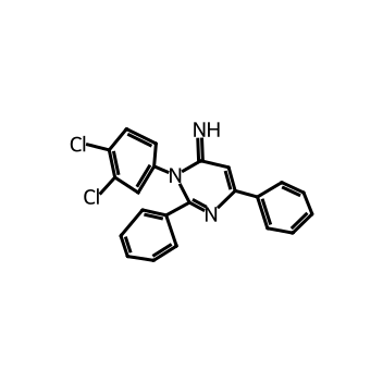 N=c1cc(-c2ccccc2)nc(-c2ccccc2)n1-c1ccc(Cl)c(Cl)c1